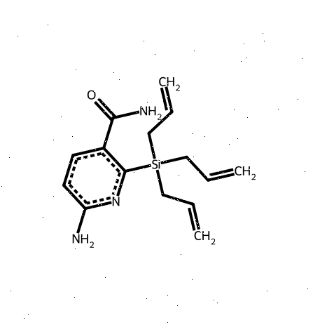 C=CC[Si](CC=C)(CC=C)c1nc(N)ccc1C(N)=O